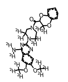 [2H]N([2H])c1nc(N2C([2H])([2H])CN(C(=O)C3Oc4ccccc4OC3([2H])[2H])CC2([2H])[2H])nc2cc(OC([2H])([2H])[2H])c(OC([2H])([2H])[2H])cc12